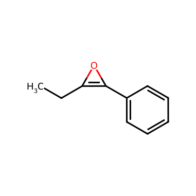 CCC1=C(c2ccccc2)O1